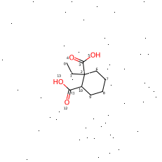 CCC1(C(=O)O)CCCCC1C(=O)O